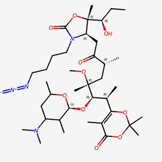 CC[C@@H](O)[C@@]1(C)OC(=O)N(CCCCN=[N+]=[N-])[C@@H]1CC(=O)[C@H](C)C[C@@](C)(OC)[C@H](O[C@@H]1OC(C)CC(N(C)C)C1C)[C@@H](C)C1=C(C)C(=O)OC(C)(C)O1